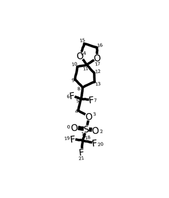 O=S(=O)(OCC(F)(F)C1CCC2(CC1)OCCO2)C(F)(F)F